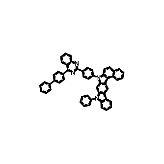 c1ccc(-c2ccc(-c3nc(-c4ccc(-n5c6cc7c(cc6c6c8ccccc8ccc65)c5ccccc5n7-c5ccccc5)cc4)nc4ccccc34)cc2)cc1